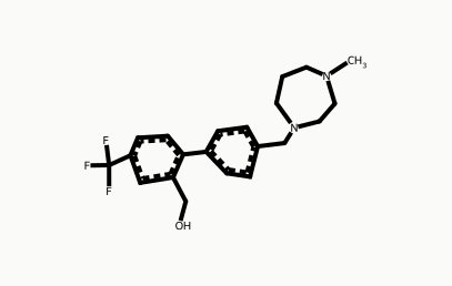 CN1CCCN(Cc2ccc(-c3ccc(C(F)(F)F)cc3CO)cc2)CC1